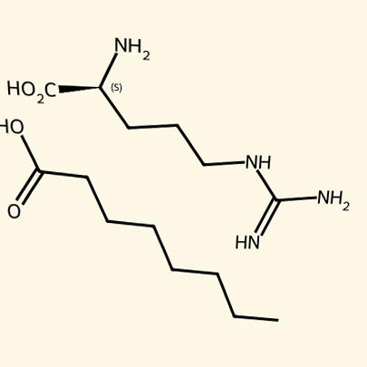 CCCCCCCC(=O)O.N=C(N)NCCC[C@H](N)C(=O)O